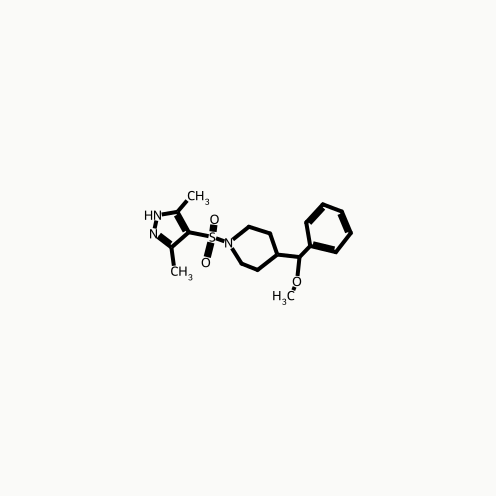 COC(c1ccccc1)C1CCN(S(=O)(=O)c2c(C)n[nH]c2C)CC1